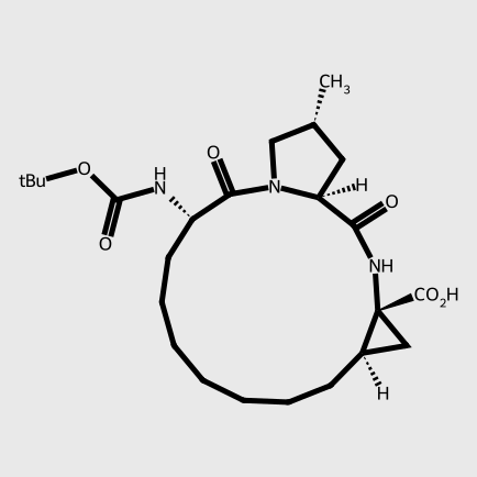 C[C@@H]1C[C@H]2C(=O)N[C@]3(C(=O)O)C[C@H]3CCCCCCC[C@H](NC(=O)OC(C)(C)C)C(=O)N2C1